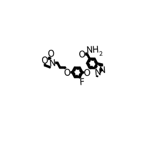 Cn1ncc2cc(C(N)=O)cc(Oc3ccc(OCCCN4CCOC4=O)cc3F)c21